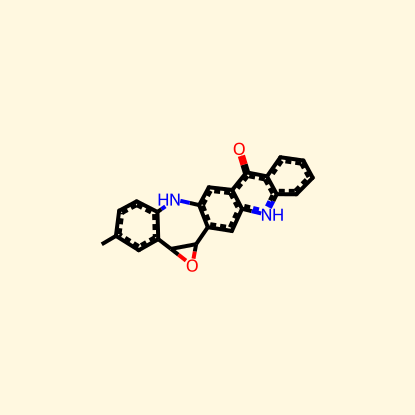 Cc1ccc2c(c1)C1OC1c1cc3[nH]c4ccccc4c(=O)c3cc1N2